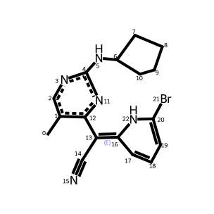 Cc1cnc(NC2CCCC2)nc1/C(C#N)=C1/C=CC=C(Br)N1